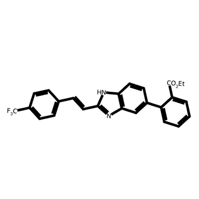 CCOC(=O)c1ccccc1-c1ccc2[nH]c(C=Cc3ccc(C(F)(F)F)cc3)nc2c1